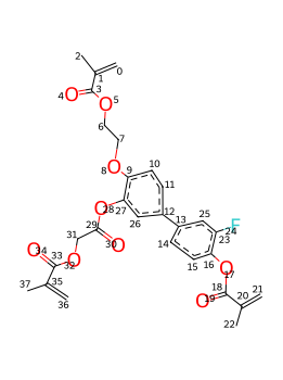 C=C(C)C(=O)OCCOc1ccc(-c2ccc(OC(=O)C(=C)C)c(F)c2)cc1OC(=O)COC(=O)C(=C)C